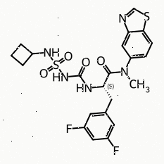 CN(C(=O)[C@H](Cc1cc(F)cc(F)c1)NC(=O)NS(=O)(=O)NC1CCC1)c1ccc2scnc2c1